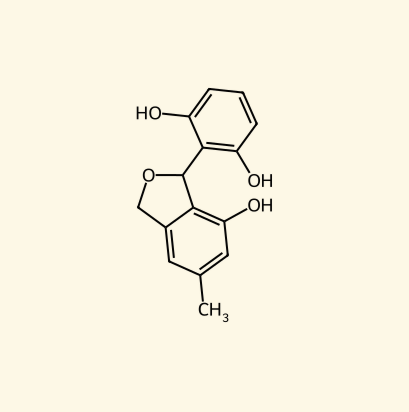 Cc1cc(O)c2c(c1)COC2c1c(O)cccc1O